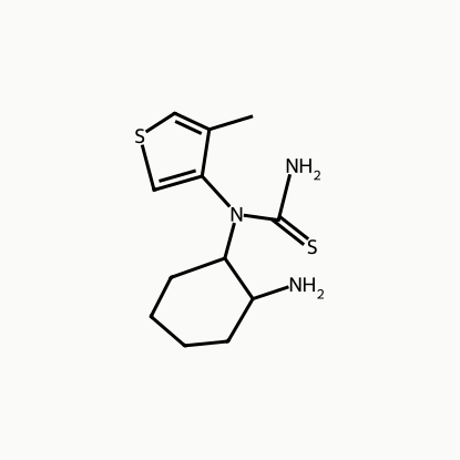 Cc1cscc1N(C(N)=S)C1CCCCC1N